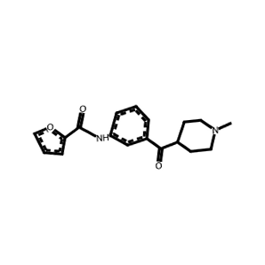 CN1CCC(C(=O)c2cccc(NC(=O)c3ccco3)c2)CC1